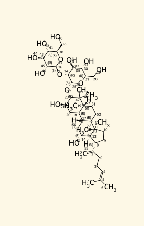 C=C(CCC=C(C)C)[C@H]1CC[C@]2(C)[C@@H]1[C@H](O)C[C@@H]1[C@@]3(C)C[C@@H](O)[C@H](O[C@H]4O[C@H](CO)[C@@H](O)[C@H](O)[C@H]4O[C@@H]4O[C@H](CO)[C@@H](O)[C@H](O)[C@H]4O)C(C)(C)[C@@H]3CC[C@]12C